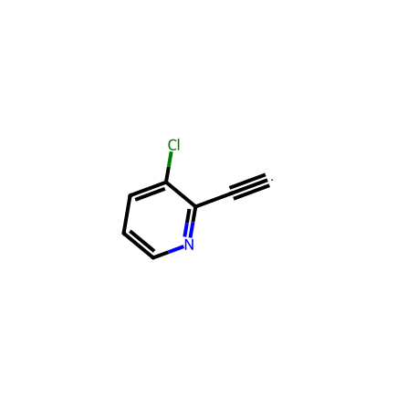 [C]#Cc1ncccc1Cl